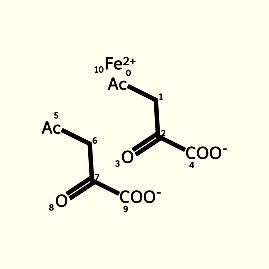 CC(=O)CC(=O)C(=O)[O-].CC(=O)CC(=O)C(=O)[O-].[Fe+2]